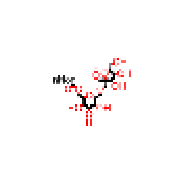 CCCCCCCCCC(=O)OCC1O[C@@H](COC[C@]2(CO)O[C@@H](CO)C(O)[C@H]2O)C(O)C(O)[C@H]1O